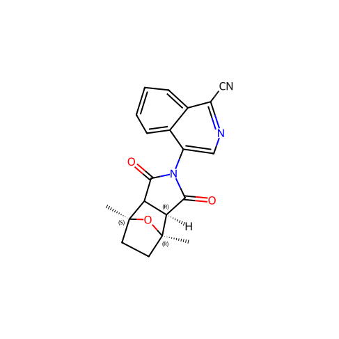 C[C@]12CC[C@](C)(O1)C1C(=O)N(c3cnc(C#N)c4ccccc34)C(=O)[C@H]12